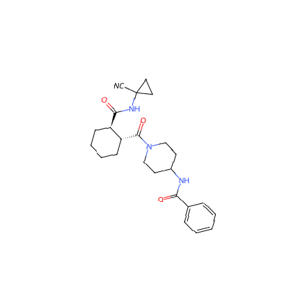 N#CC1(NC(=O)[C@@H]2CCCC[C@H]2C(=O)N2CCC(NC(=O)c3ccccc3)CC2)CC1